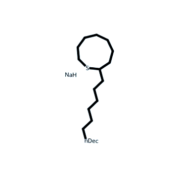 CCCCCCCCCCCCCCCCC1CCCCCCCS1.[NaH]